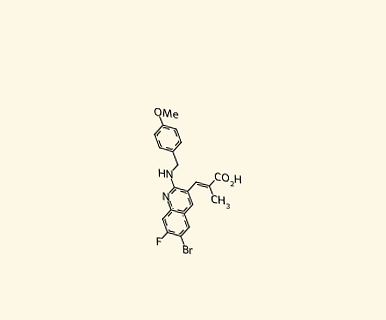 COc1ccc(CNc2nc3cc(F)c(Br)cc3cc2C=C(C)C(=O)O)cc1